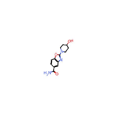 NC(=O)c1ccc2oc(N3CCC(O)CC3)nc2c1